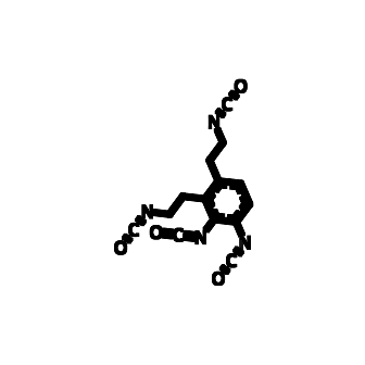 O=C=NCCc1ccc(N=C=O)c(N=C=O)c1CCN=C=O